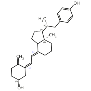 C=C1CC[C@H](O)C/C1=C/C=C1\CCC[C@@]2(C)C1CC[C@@H]2[C@H](C)Cc1ccc(O)cc1